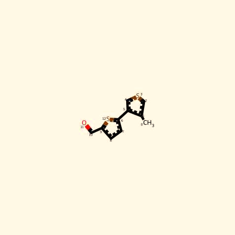 Cc1cscc1-c1ccc(C=O)s1